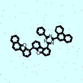 C1=Cc2c(c(-c3nc(-c4ccccc4)nc(-c4cccc5oc6c(-c7cccc8c7oc7c9ccccc9ccc87)cccc6c45)n3)cc3ccccc23)CC1